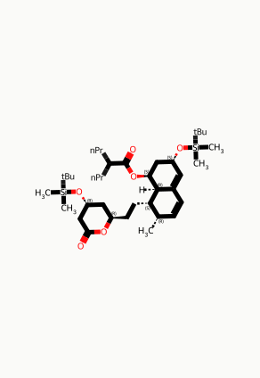 CCCC(CCC)C(=O)O[C@H]1C[C@H](O[Si](C)(C)C(C)(C)C)C=C2C=C[C@H](C)[C@H](CC[C@@H]3C[C@@H](O[Si](C)(C)C(C)(C)C)CC(=O)O3)[C@H]21